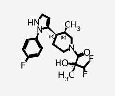 C[C@H]1CN(C(=O)[C@@](C)(O)C(F)F)CC[C@H]1C1=CCNN1c1ccc(F)cc1